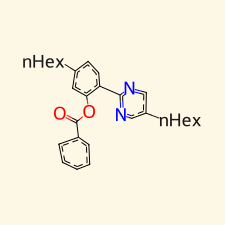 CCCCCCc1cnc(-c2ccc(CCCCCC)cc2OC(=O)c2ccccc2)nc1